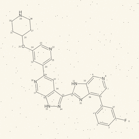 Fc1cccc(-c2cncc3[nH]c(-c4n[nH]c5cnc(-c6cncc(OC7CCNCC7)c6)cc45)nc23)c1